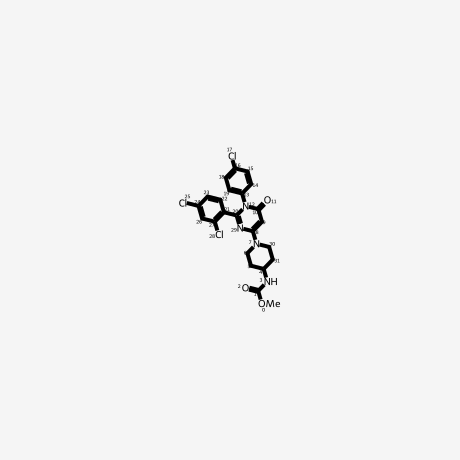 COC(=O)NC1CCN(c2cc(=O)n(-c3ccc(Cl)cc3)c(-c3ccc(Cl)cc3Cl)n2)CC1